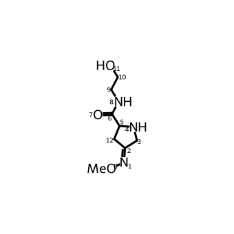 CON=C1CNC(C(=O)NCCO)C1